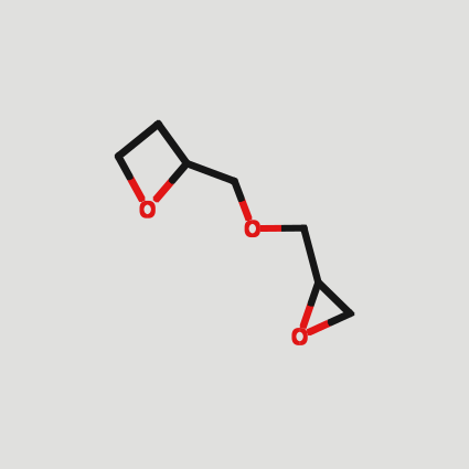 C1CC(COCC2CO2)O1